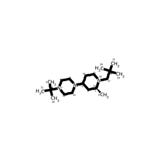 C[C@H]1CC(N2CCN(C(C)(C)C)CC2)CCN1CC(C)(C)C